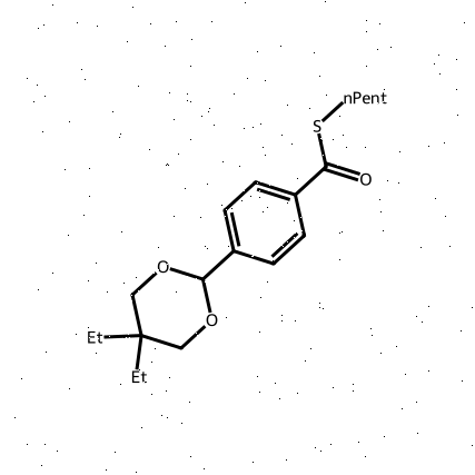 CCCCCSC(=O)c1ccc(C2OCC(CC)(CC)CO2)cc1